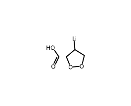 O=CO.[Li][CH]1COOC1